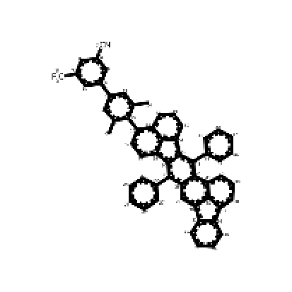 Cc1cc(-c2cc(C#N)cc(C(F)(F)F)c2)cc(C)c1-c1ccc2c3c(-c4ccccc4)c4cc5c6ccccc6c6cccc(c4c(-c4ccccc4)c3c3cccc1c23)c65